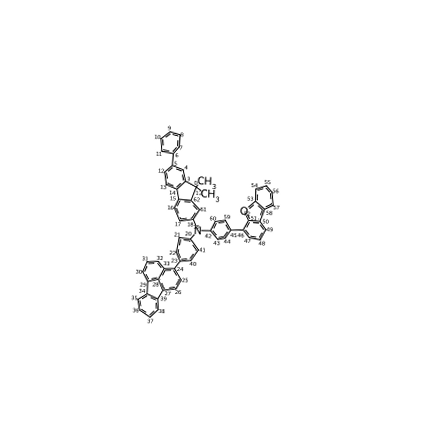 CC1(C)c2cc(-c3ccccc3)ccc2-c2ccc(N(c3ccc(-c4ccc5c6c(cccc46)-c4ccccc4-5)cc3)c3ccc(-c4cccc5c4oc4ccccc45)cc3)cc21